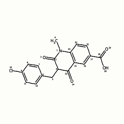 CN1C(=O)C(Cc2ccc(Cl)cc2)C(=O)c2cc(C(=O)O)ccc21